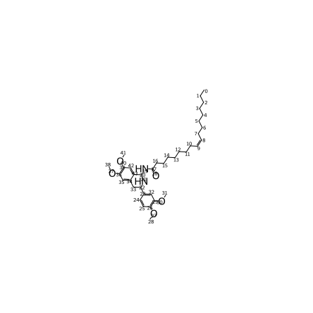 CCCCCCCC/C=C\CCCCCCCC(=O)NC1NC(c2ccc(OC)c(OC)c2)Cc2cc(OC)c(OC)cc21